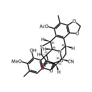 CCN1[C@H]2Cc3cc(C)c(OC)c(O)c3[C@H]1[C@@H]1[C@@H]3SCC(=O)C(=O)OC[C@@H](c4c5c(c(C)c(OC(C)=O)c43)OCO5)N1[C@H]2C#N